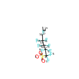 O=S(=O)([O-])C(F)(F)C(F)(F)C(F)(F)C(F)(F)CF.[Li+]